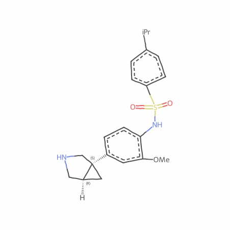 COc1cc([C@@]23CNC[C@@H]2C3)ccc1NS(=O)(=O)c1ccc(C(C)C)cc1